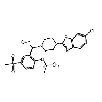 C[C@H](Oc1ccc(S(C)(=O)=O)cc1C(C=O)N1CCN(c2nc3ccc(Cl)cc3s2)CC1)C(F)(F)F